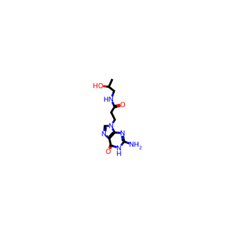 CC(O)CNC(=O)CCn1cnc2c(=O)[nH]c(N)nc21